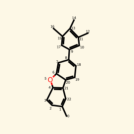 Cc1ccc2oc3cc(-c4cc(C)c(C)c(C)c4)ccc3c2c1